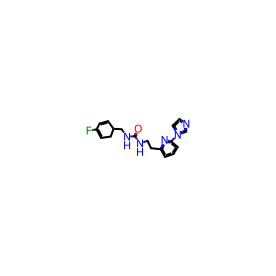 O=C(NCCc1cccc(-n2ccnc2)n1)NCC1C=CC(F)=CC1